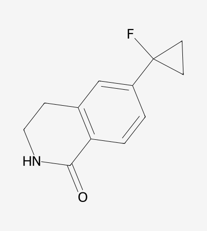 O=C1NCCc2cc(C3(F)CC3)ccc21